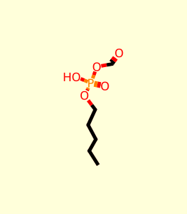 CCCCCOP(=O)(O)OC=O